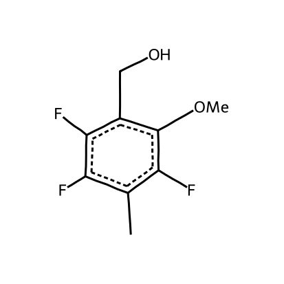 COc1c(F)c(C)c(F)c(F)c1CO